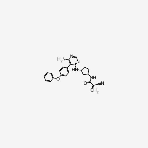 C=C(C#N)C(=O)N[C@@H]1CC[C@H](Nc2ncnc(N)c2-c2ccc(Oc3ccccc3)cc2)C1